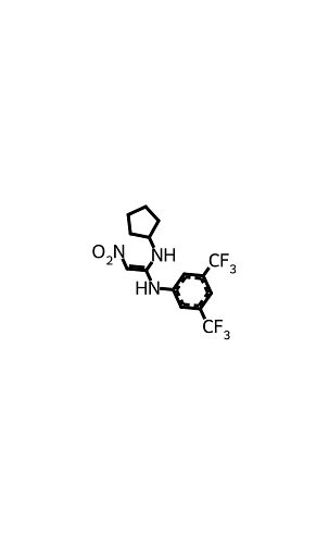 O=[N+]([O-])C=C(Nc1cc(C(F)(F)F)cc(C(F)(F)F)c1)NC1CCCC1